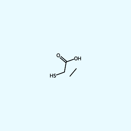 CC.O=C(O)CS